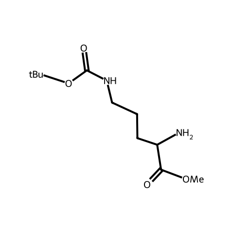 COC(=O)C(N)CCCNC(=O)OC(C)(C)C